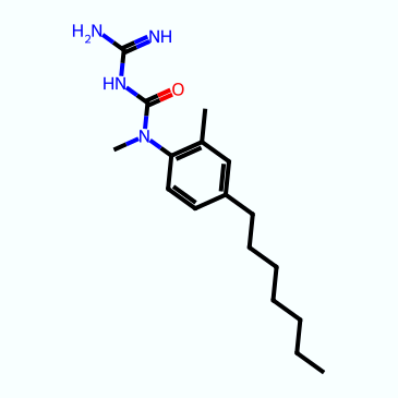 CCCCCCCc1ccc(N(C)C(=O)NC(=N)N)c(C)c1